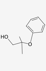 CC(C)(CO)Oc1ccccc1